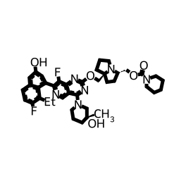 CCc1c(F)ccc2cc(O)cc(-c3ncc4c(N5CCC[C@@](C)(O)C5)nc(OC[C@@]56CCCN5[C@H](COC(=O)N5CCCCC5)CC6)nc4c3F)c12